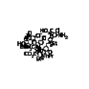 CCC/C(=N\OCC)C1=C(O)CC(CC(C)SCC)CC1=O.CCOC(=O)C1=NN(c2ccc(Cl)cc2Cl)C(C)(C(=O)OCC)C1.Cc1nn(C)c(O)c1C(=O)c1ccc(C(F)(F)F)cc1S(C)(=O)=O.Nc1cc(Cl)nc(C(=O)O)c1Cl